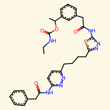 CCNC(=O)OC(C)c1cccc(CC(=O)Nc2nnc(CCCCc3ccc(NC(=O)Cc4ccccc4)nn3)s2)c1